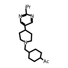 CC(=O)C1CCC(CN2CCC(c3cnc(C(C)C)nc3)CC2)CC1